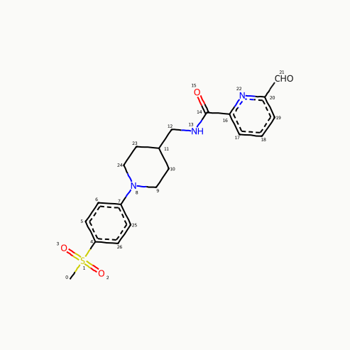 CS(=O)(=O)c1ccc(N2CCC(CNC(=O)c3cccc(C=O)n3)CC2)cc1